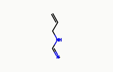 C=CCNC=[N]